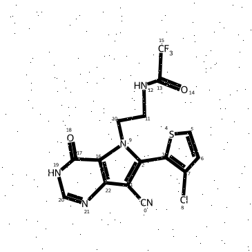 N#Cc1c(-c2sccc2Cl)n(CCNC(=O)C(F)(F)F)c2c(=O)[nH]cnc12